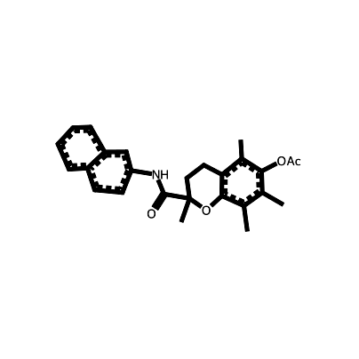 CC(=O)Oc1c(C)c(C)c2c(c1C)CCC(C)(C(=O)Nc1ccc3ccccc3c1)O2